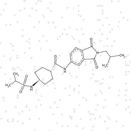 CC(C)CN1C(=O)c2ccc(NC(=O)[C@H]3CC[C@H](NS(=O)(=O)C(C)C)CC3)cc2C1=O